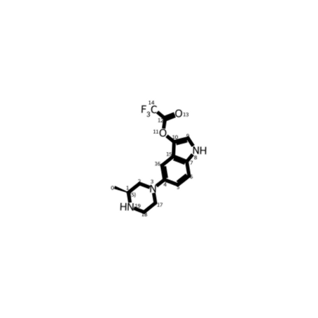 C[C@H]1CN(c2ccc3[nH]cc(OC(=O)C(F)(F)F)c3c2)CCN1